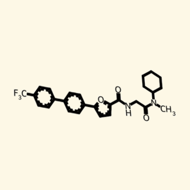 CN(C(=O)CNC(=O)c1ccc(-c2ccc(-c3ccc(C(F)(F)F)cc3)cc2)o1)C1CCCCC1